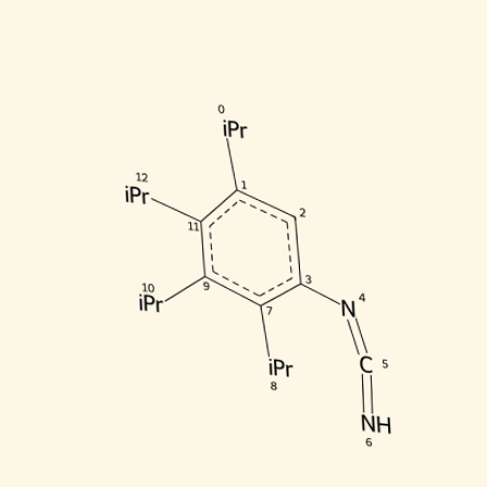 CC(C)c1cc(N=C=N)c(C(C)C)c(C(C)C)c1C(C)C